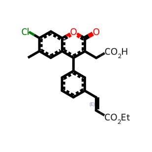 CCOC(=O)/C=C/c1cccc(-c2c(CC(=O)O)c(=O)oc3cc(Cl)c(C)cc23)c1